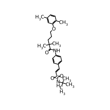 Cc1ccc(C)c(OCCCC(C)(C)C(=O)Nc2ccc(C=CS(=O)(=O)NC(C)(C)C)cc2)c1